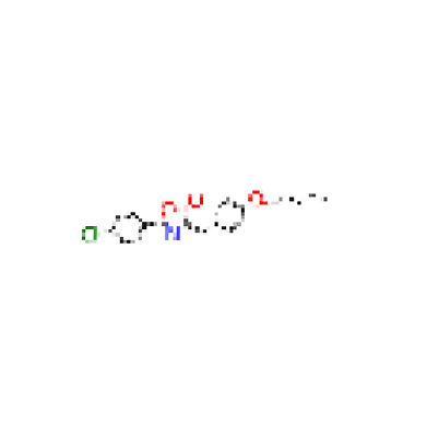 CCCCCOc1ccc(C=C2N=C(c3ccc(Cl)cc3)OC2=O)cc1